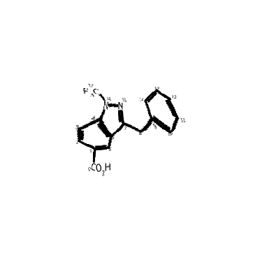 O=C(O)c1ccc2c(c1)c(Cc1ccccc1)nn2C(F)(F)F